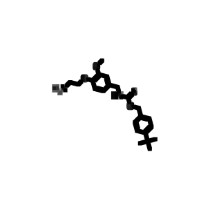 COc1cc(CNC(=S)OCc2ccc(C(C)(C)C)cc2)ccc1OCCN